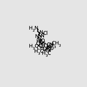 CCOC(=O)C(C)(OC[C@H]1O[C@@H](n2cnc3c(CCN)nc(Cl)nc32)[C@@H]2OC(C)(C)O[C@@H]21)P(=O)(OCC)OCC